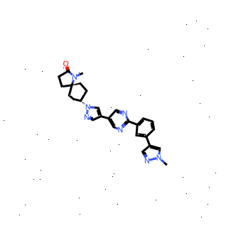 Cn1cc(-c2cccc(-c3ncc(-c4cnn([C@H]5CC[C@]6(CCC(=O)N6C)CC5)c4)cn3)c2)cn1